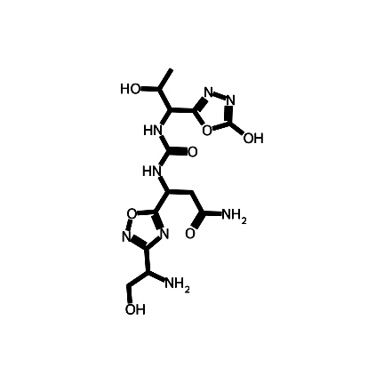 CC(O)C(NC(=O)NC(CC(N)=O)c1nc(C(N)CO)no1)c1nnc(O)o1